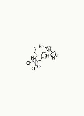 CCCCc1nc(Cl)c(C(=O)OC)n1Cc1ccc(-n2c(Br)ccc2-c2nnn[nH]2)cc1